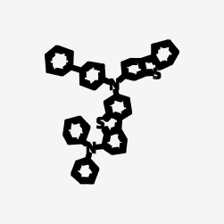 c1ccc(-c2ccc(N(c3ccc4c(c3)sc3ccccc34)c3ccc4c(c3)sc3c(N(c5ccccc5)c5ccccc5)cccc34)cc2)cc1